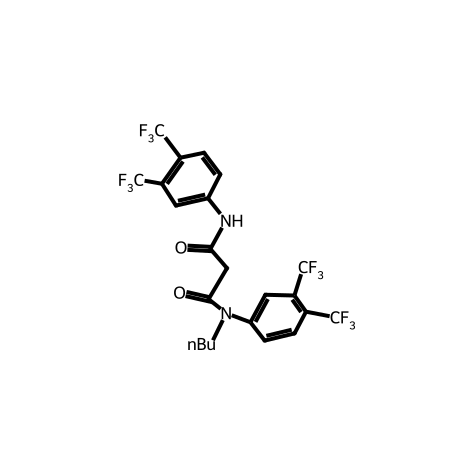 CCCCN(C(=O)CC(=O)Nc1ccc(C(F)(F)F)c(C(F)(F)F)c1)c1ccc(C(F)(F)F)c(C(F)(F)F)c1